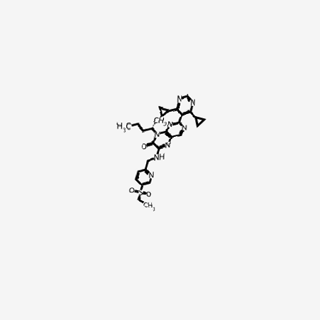 CCC[C@H](C)n1c(=O)c(NCc2ccc(S(=O)(=O)CC)cn2)nc2cnc(-c3c(C4CC4)ncnc3C3CC3)nc21